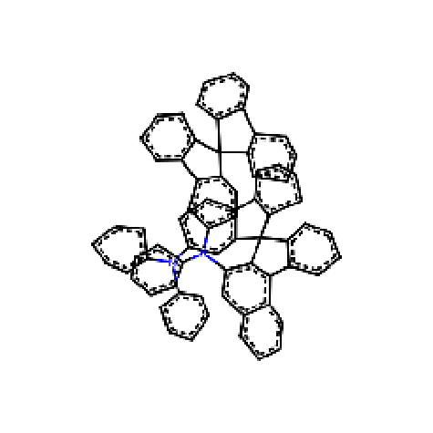 c1ccc(N(c2ccccc2)c2ccc3c(c2)C2(c4ccccc4-3)c3ccccc3-c3c2c(N(c2ccccc2)c2ccc4c(c2)-c2ccccc2C42c4ccccc4-c4ccccc42)cc2ccccc32)cc1